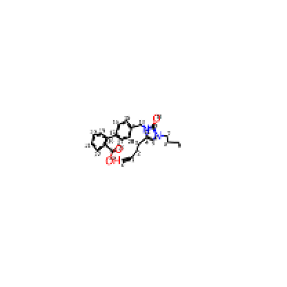 C#CCCc1cn(CCC)c(=O)n1Cc1ccc(-c2ccccc2C(=O)O)cc1